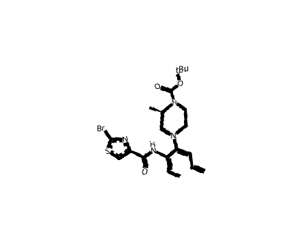 C=C/C=C(\C(=C/C)NC(=O)c1csc(Br)n1)N1CCN(C(=O)OC(C)(C)C)[C@H](C)C1